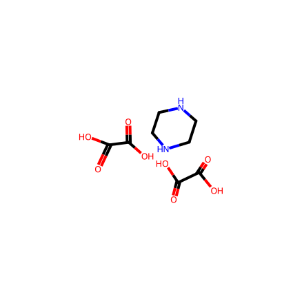 C1CNCCN1.O=C(O)C(=O)O.O=C(O)C(=O)O